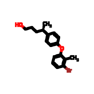 Cc1c(Br)cccc1Oc1ccc([C@H](C)CCCO)cc1